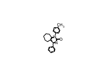 Cc1ccc(-n2c3c(c(-c4ccccc4)nc2=O)CCCCC3)cc1